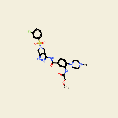 COCC(=O)Nc1cc(C(=O)Nc2n[nH]c3c2CN(S(=O)(=O)c2cccc(F)c2)C3)ccc1N1CCN(C)CC1